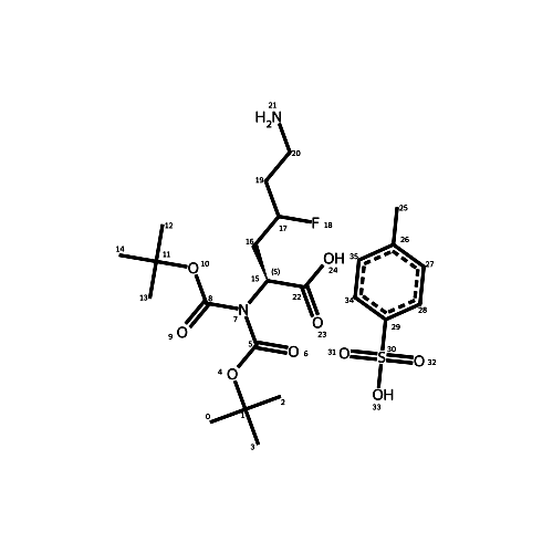 CC(C)(C)OC(=O)N(C(=O)OC(C)(C)C)[C@@H](CC(F)CCN)C(=O)O.Cc1ccc(S(=O)(=O)O)cc1